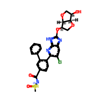 C/[SH](=O)=N/C(=O)c1ccc(-c2nc3[nH]c(O[C@@H]4CO[C@H]5[C@@H]4OC[C@H]5O)nc3cc2Cl)c(-c2ccccc2)c1